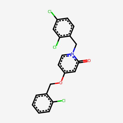 O=c1cc(OCc2ccccc2Cl)ccn1Cc1ccc(Cl)cc1Cl